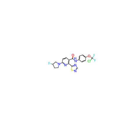 O=C(Nc1ccc(OC(F)(F)Cl)cc1)c1ccc(N2CCC(F)C2)nc1-c1ncns1